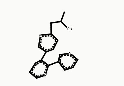 CC(O)Cc1ccc(-c2cccnc2-c2cccnc2)cn1